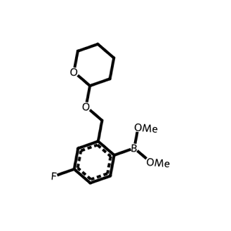 COB(OC)c1ccc(F)cc1COC1CCCCO1